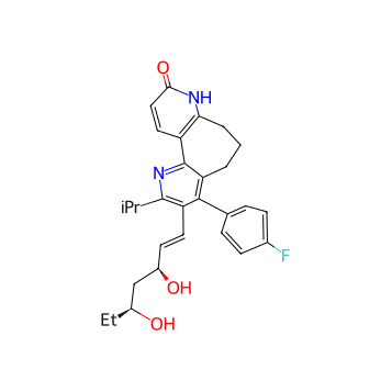 CC[C@H](O)C[C@H](O)/C=C/c1c(C(C)C)nc2c(c1-c1ccc(F)cc1)CCCc1[nH]c(=O)ccc1-2